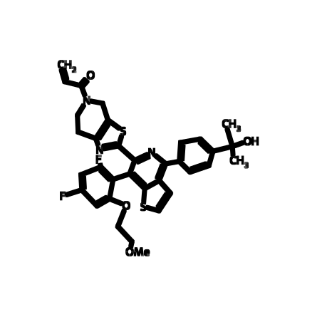 C=CC(=O)N1CCc2nc(-c3nc(-c4ccc(C(C)(C)O)cc4)c4ccsc4c3-c3c(F)cc(F)cc3OCCOC)sc2C1